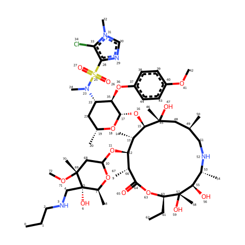 CCCNC[C@]1(O)[C@H](C)OC(O[C@H]2[C@H](C)[C@@H](O[C@@H]3O[C@H](C)C[C@H](N(C)S(=O)(=O)c4ncn(C)c4Cl)[C@H]3Oc3ccc(OC)cc3)[C@](C)(O)C[C@@H](C)CN[C@H](C)[C@@H](O)[C@](C)(O)[C@@H](CC)OC(=O)[C@@H]2C)C[C@@]1(C)OC